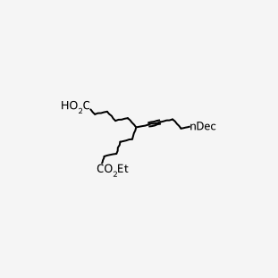 CCCCCCCCCCCCC#CC(CCCCC(=O)O)CCCCC(=O)OCC